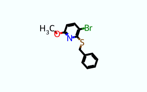 COc1ccc(Br)c(SCc2ccccc2)n1